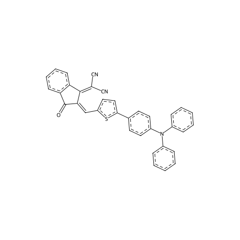 N#CC(C#N)=C1/C(=C\c2ccc(-c3ccc(N(c4ccccc4)c4ccccc4)cc3)s2)C(=O)c2ccccc21